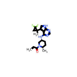 C=CC(=O)N1C[C@H](Nc2ncnc3[nH]cc(C4(C)CC4(F)F)c23)CC[C@@H]1C